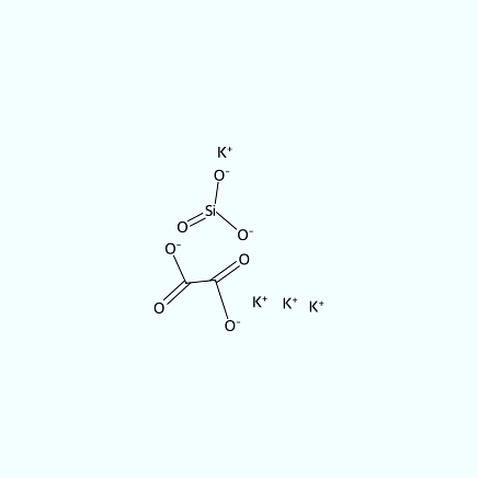 O=C([O-])C(=O)[O-].O=[Si]([O-])[O-].[K+].[K+].[K+].[K+]